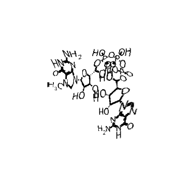 CN1CN([C@@H]2O[C@H](C(O)OP(=O)(O)OP(=O)(O)OP(=O)(O)OC(O)[C@H]3O[C@@H](n4cnc5c(=O)[nH]c(N)nc54)[C@H](O)[C@@H]3O)[C@@H](O)[C@H]2O)c2nc(N)[nH]c(=O)c21